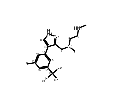 CNCCN(C)Cc1n[nH]cc1-c1cc(C)cc(C(F)(F)F)c1